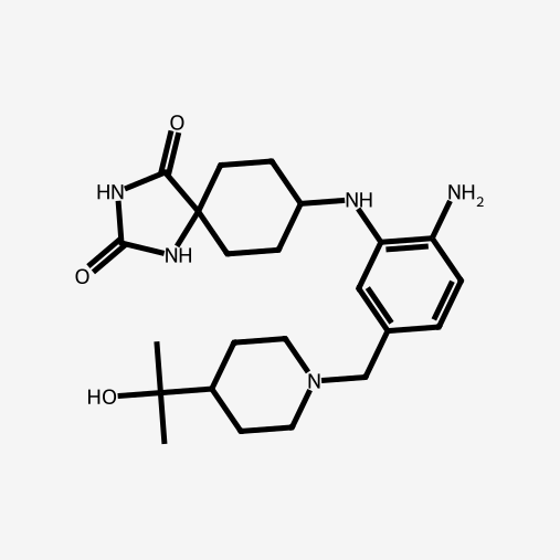 CC(C)(O)C1CCN(Cc2ccc(N)c(NC3CCC4(CC3)NC(=O)NC4=O)c2)CC1